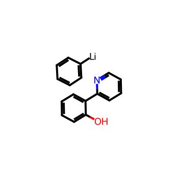 Oc1ccccc1-c1ccccn1.[Li][c]1ccccc1